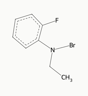 CCN(Br)c1ccccc1F